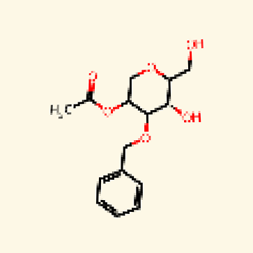 CC(=O)OC1COC(CO)[C@@H](O)[C@H]1OCc1ccccc1